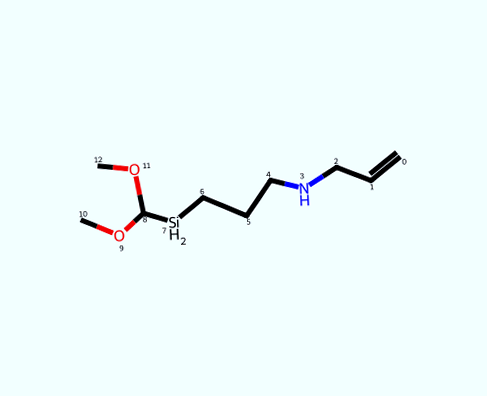 C=CCNCCC[SiH2]C(OC)OC